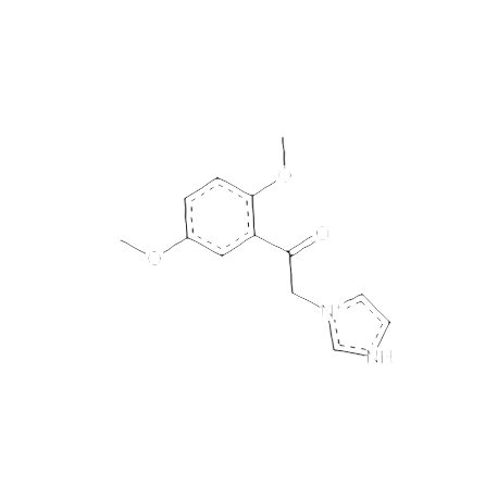 COc1ccc(OC)c(C(=O)C[n+]2cc[nH]c2)c1